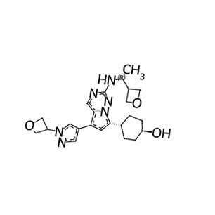 C[C@@H](Nc1ncc2c(-c3cnn(C4COC4)c3)cc([C@H]3CC[C@H](O)CC3)n2n1)C1COC1